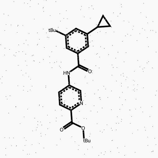 CC(C)(C)OC(=O)c1ccc(NC(=O)c2cc(C3CC3)cc(C(C)(C)C)c2)cn1